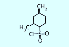 C=C1CCC(S(=O)(=O)Cl)C(C)C1